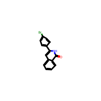 O=c1[nH]c(-c2ccc(Br)cc2)cc2ccccc12